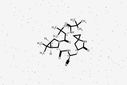 CC(C)(C)C(=O)N[C@H](C(=O)N1C[C@H]2[C@@H]([C@H]1C(=O)N[C@H](C#N)C[C@@H]1CC3(CC3)NC1=O)C2(C)C)C(C)(C)C